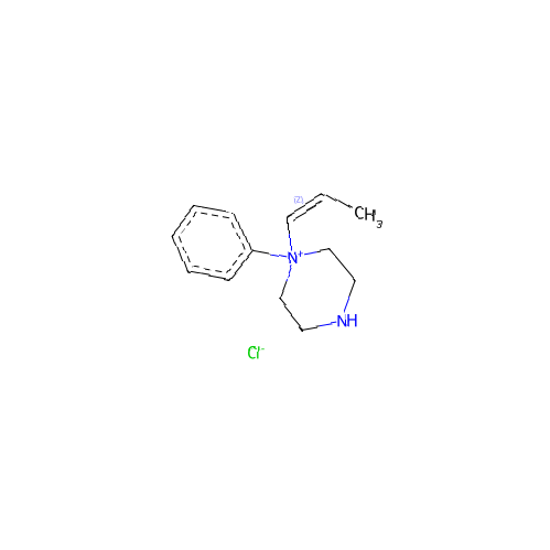 C/C=C\[N+]1(c2ccccc2)CCNCC1.[Cl-]